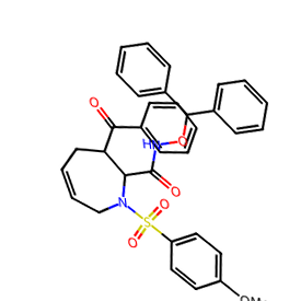 COc1ccc(S(=O)(=O)N2CC=CCC(C(=O)c3ccccc3)C2C(=O)NOC(c2ccccc2)c2ccccc2)cc1